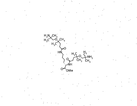 COC(=O)[C@H](CCCCNC(=O)CCC(C)(C)OCC(C)(C)N)NC(=O)CCC(C)(C)OCC(C)(C)N